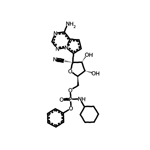 N#C[C@@]1(c2ccc3c(N)ncnn23)O[C@H](COP(=O)(NC2CCCCC2)Oc2ccccc2)[C@@H](O)[C@H]1O